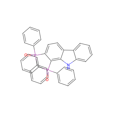 O=P(c1ccccc1)(c1ccccc1)c1ccc2c([nH]c3ccccc32)c1P(=O)(c1ccccc1)c1ccccc1